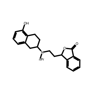 CCCN(CCC1OC(=O)c2ccccc21)C1CCc2c(O)cccc2C1